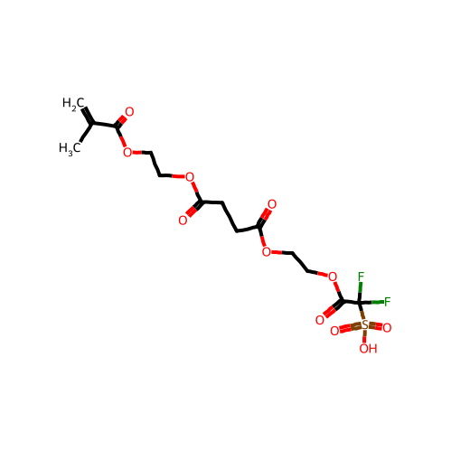 C=C(C)C(=O)OCCOC(=O)CCC(=O)OCCOC(=O)C(F)(F)S(=O)(=O)O